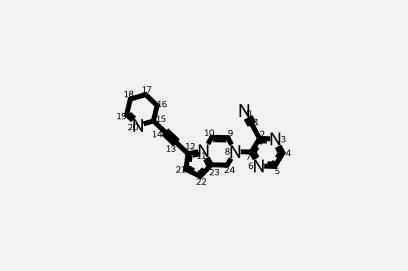 N#Cc1nccnc1N1C=Cn2c(C#CC3CCCC=N3)ccc2C1